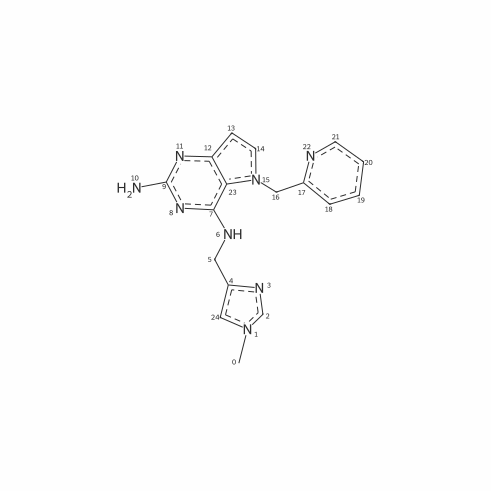 Cn1cnc(CNc2nc(N)nc3ccn(Cc4ccccn4)c23)c1